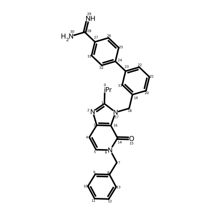 CC(C)c1nc2ccn(Cc3ccccc3)c(=O)c2n1Cc1cccc(-c2ccc(C(=N)N)cc2)c1